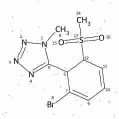 Cn1nnnc1C1C(Br)=CC=CC1S(C)(=O)=O